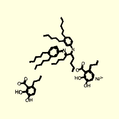 CCCCCc1ccc(N=C(CCCC)C(CCCC)=Nc2ccc(CCCCC)c(CCCCC)c2)cc1CCCCC.CCCc1ccc(O)c(O)c1C(=O)[O-].CCCc1ccc(O)c(O)c1C(=O)[O-].[Ni+2]